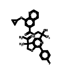 CC1(C(N)=O)COc2c1cc(C(O)(CNC(=O)c1cc(OC3CC3)c3ncccc3c1)C(F)(F)F)nc2-c1ccc(F)cc1